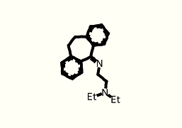 CCN(CC)CCN=C1c2ccccc2CCc2ccccc21